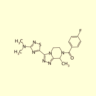 CC1c2nnc(-c3nc(N(C)C)ns3)n2CCN1C(=O)c1ccc(F)cc1